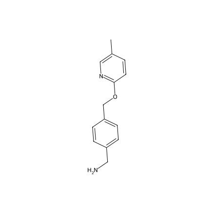 Cc1ccc(OCc2ccc(CN)cc2)nc1